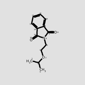 CC(C)OCCN1C(=O)c2ccccc2C1=O